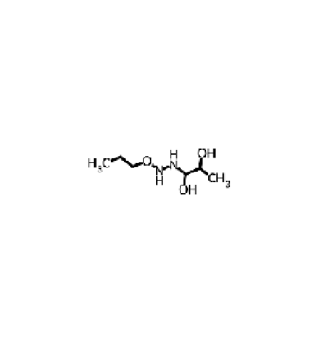 CCCONNC(O)C(C)O